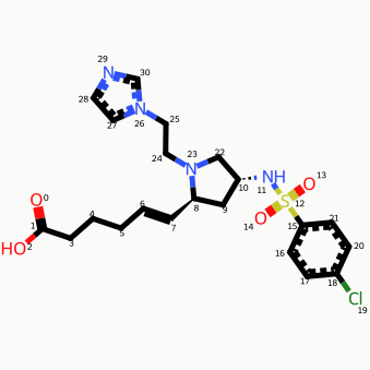 O=C(O)CCCC=C[C@@H]1C[C@@H](NS(=O)(=O)c2ccc(Cl)cc2)CN1CCn1ccnc1